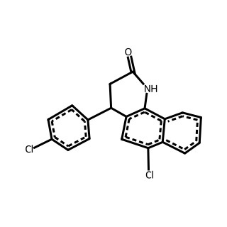 O=C1CC(c2ccc(Cl)cc2)c2cc(Cl)c3ccccc3c2N1